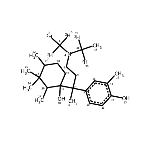 [2H]C([2H])([2H])N(CCC(C)(c1ccc(O)c(C)c1)C1(O)CCC(C)C(C)(C)C1C)C([2H])([2H])C